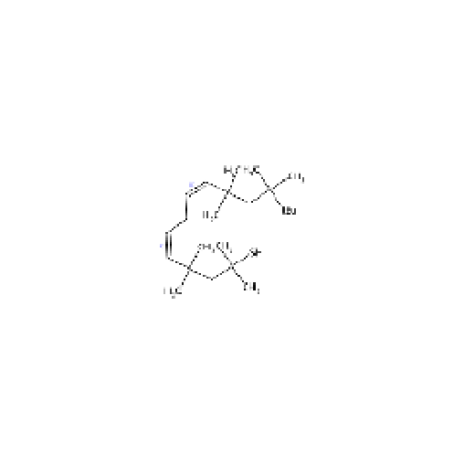 CC(C)(S)CC(C)(C)/C=C\C/C=C\C(C)(C)CC(C)(C)C(C)(C)C